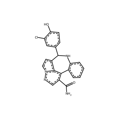 NC(=O)c1cnn2ccc3c2c1-c1ccccc1NC3c1ccc(O)c(Cl)c1